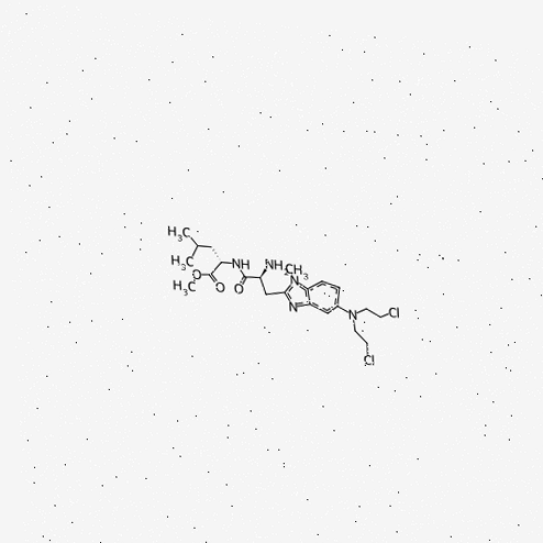 COC(=O)[C@H](CC(C)C)NC(=O)[C@@H](N)Cc1nc2cc(N(CCCl)CCCl)ccc2n1C